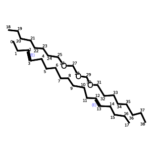 CC/C=C/CCCCCCCC/C=C/CCCC.CCCCCCCCOCOCOCCCCCCCC